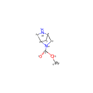 CC(C)OC(=O)N1CC2CC1CN2